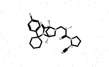 C[C@@H](CN1C[C@@H]2C[C@H]1C(=O)N2C1(c2ccc(F)cc2)CCCCC1)C(=O)N1CCC[C@H]1C#N